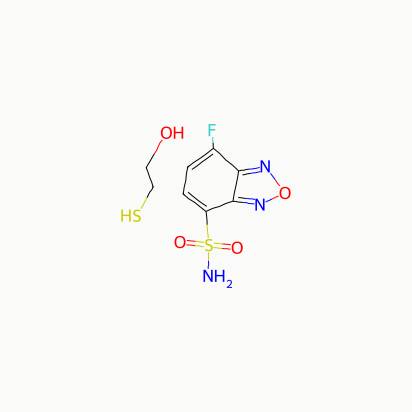 NS(=O)(=O)c1ccc(F)c2nonc12.OCCS